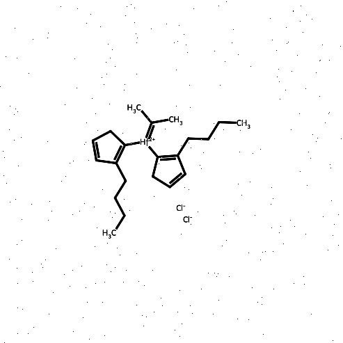 CCCCC1=[C]([Hf+2]([C]2=C(CCCC)C=CC2)=[C](C)C)CC=C1.[Cl-].[Cl-]